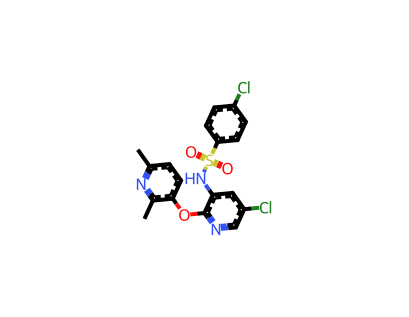 Cc1ccc(Oc2ncc(Cl)cc2NS(=O)(=O)c2ccc(Cl)cc2)c(C)n1